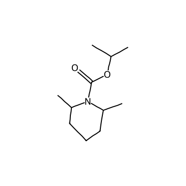 CC(C)OC(=O)N1C(C)CCCC1C